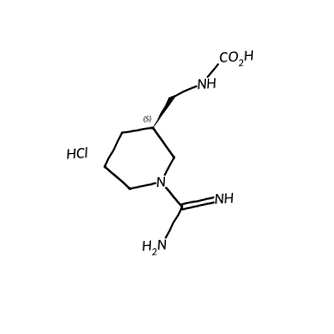 Cl.N=C(N)N1CCC[C@@H](CNC(=O)O)C1